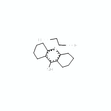 Nc1c2c(nc3c1CCCC3)CCCC2.O=C(O)CCC(=O)O